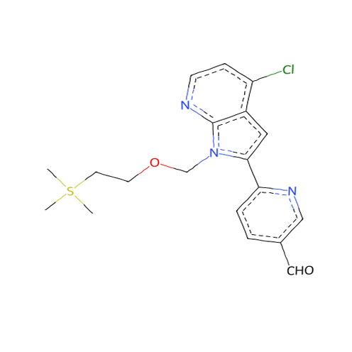 CS(C)(C)CCOCn1c(-c2ccc(C=O)cn2)cc2c(Cl)ccnc21